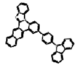 c1ccc2cc3c(cc2c1)c1cc(-c2ccc(-n4c5ccccc5c5ccccc54)cc2)ccc1n1c2ccccc2nc31